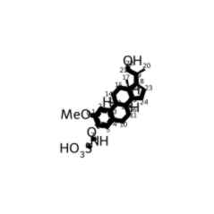 COc1cc2c(cc1ONS(=O)(=O)O)CC[C@@H]1[C@@H]2CC[C@]2(C)[C@@H]([C@H](C)CO)CC[C@@H]12